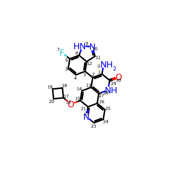 Nc1c(-c2ccc(F)c3[nH]ncc23)c2cc(OC3CCC3)c3ncccc3c2[nH]c1=O